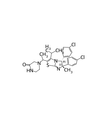 CC(C)C1=C(C(C)N2CCNC(=O)C2)SC2=N[C@@](C)(c3ccc(Cl)cc3)[C@@H](c3ccc(Cl)cc3)N21